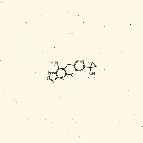 Cc1nc2nonc2c(N)c1Cc1ccc(C2(C#N)CC2)nc1